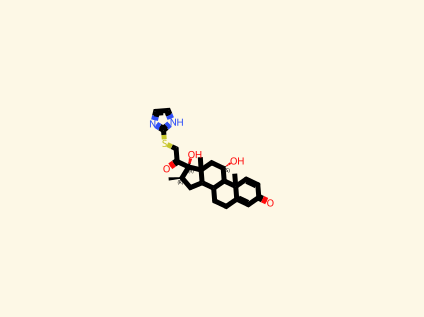 C[C@@H]1CC2C3CCC4=CC(=O)C=CC4(C)C3[C@@H](O)CC2(C)[C@@]1(O)C(=O)CSc1ncc[nH]1